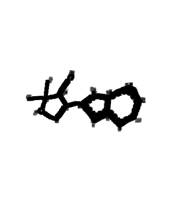 CC1(C)OC=C(c2cc3ccccc3s2)C1=O